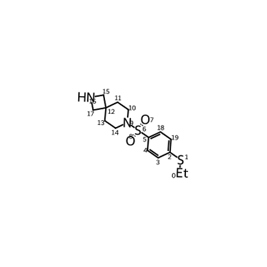 CCSc1ccc(S(=O)(=O)N2CCC3(CC2)CNC3)cc1